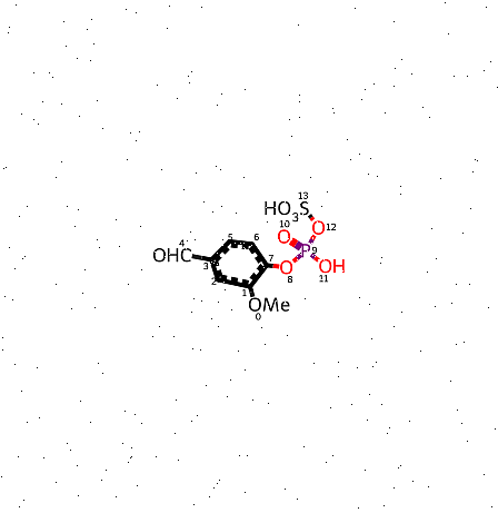 COc1cc(C=O)ccc1OP(=O)(O)OS(=O)(=O)O